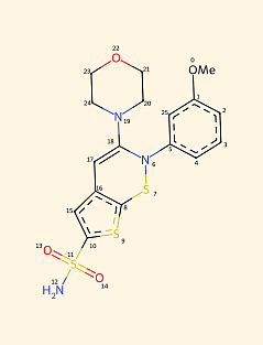 COc1cccc(N2Sc3sc(S(N)(=O)=O)cc3C=C2N2CCOCC2)c1